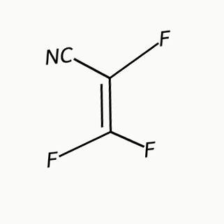 N#CC(F)=C(F)F